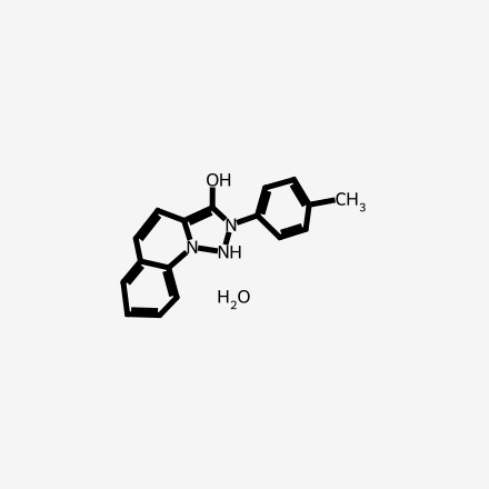 Cc1ccc(N2NN3C(=C2O)C=Cc2ccccc23)cc1.O